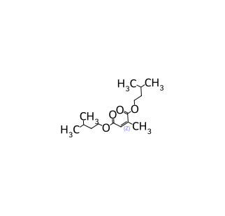 C/C(=C/C(=O)OCCC(C)C)C(=O)OCCC(C)C